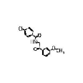 COc1cccc(C(=O)CNC(=O)c2ccc(Cl)cc2)c1